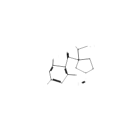 CCCC(C(=O)O)C1(C(=O)c2c(C)cc(C)cc2C)CCCC1.O=P